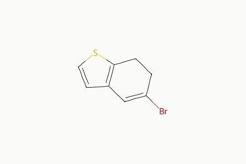 BrC1=Cc2ccsc2CC1